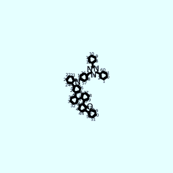 c1ccc(-c2nc(-c3ccccc3)nc(-c3ccc(-n4c5ccccc5c5cc(-c6ccccc6-c6ccccc6-c6cccc7c6oc6ccccc67)ccc54)cc3)n2)cc1